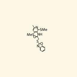 CSc1cc(C)nc(SC)c1NC(=O)CSc1nc2ccccc2o1